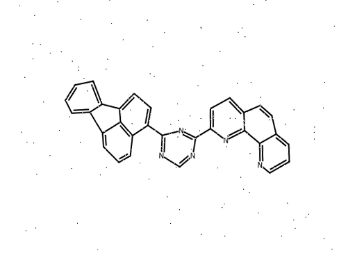 c1ccc2c(c1)-c1cccc3c(-c4ncnc(-c5ccc6ccc7cccnc7c6n5)n4)ccc-2c13